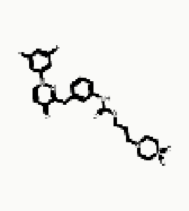 O=C(Nc1cccc(Cc2nn(-c3cc(F)cc(F)c3)ccc2=O)c1)OCCCN1CCS(=O)(=O)CC1